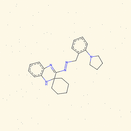 c1ccc(N2CCCC2)c(CN=NC2=Nc3ccccc3NC23CCCCC3)c1